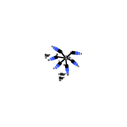 N#[C][Co-3]([C]#N)([C]#N)([C]#N)([C]#N)[C]#N.[Na+].[Na+].[Na+]